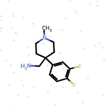 CN1CCC(CN)(c2ccc(F)c(F)c2)CC1